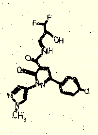 Cn1cc(-n2nc(-c3ccc(Cl)cc3)cc(C(=O)NCC(O)C(F)F)c2=O)cn1